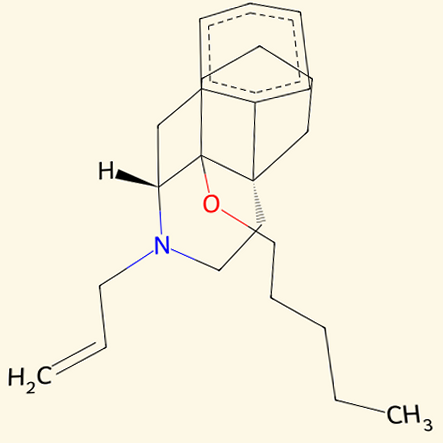 C=CCN1CC[C@]23CCCCC2(OCCCCC)[C@H]1Cc1ccccc13